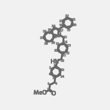 COC(=O)CCc1ccc(NCc2ccc(Cn3c(-c4ccccc4)cc4ccccc43)cc2)cc1